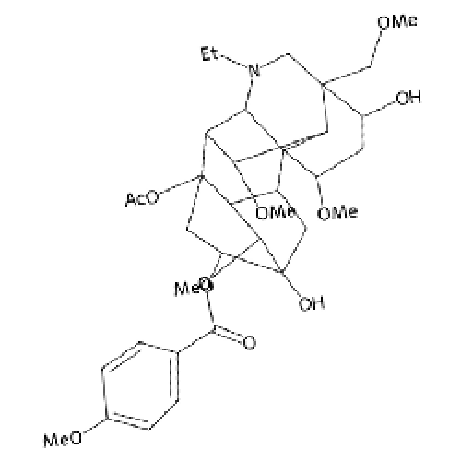 CCN1CC2(COC)C(O)CC(OC)C34C5CC6(O)C(OC)CC(OC(C)=O)(C5C6OC(=O)c5ccc(OC)cc5)C(C(OC)C23)C14